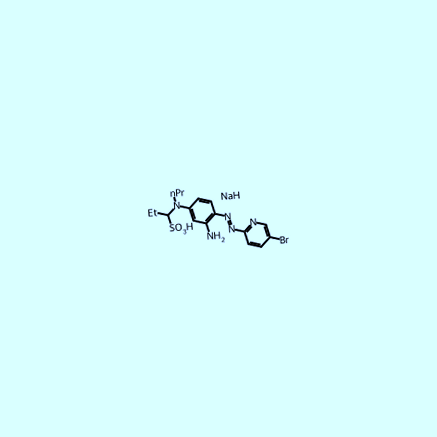 CCCN(c1ccc(N=Nc2ccc(Br)cn2)c(N)c1)C(CC)S(=O)(=O)O.[NaH]